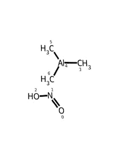 O=NO.[CH3][Al]([CH3])[CH3]